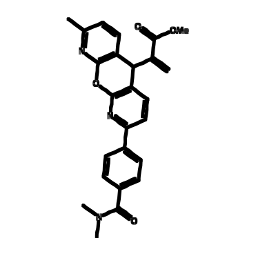 C=C(C(=O)OC)C1c2ccc(C)nc2Oc2nc(-c3ccc(C(=O)N(C)C)cc3)ccc21